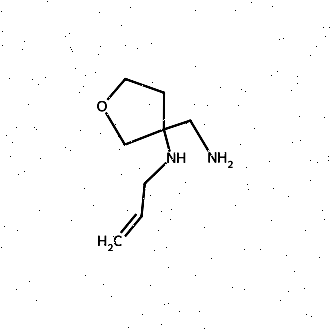 C=CCNC1(CN)CCOC1